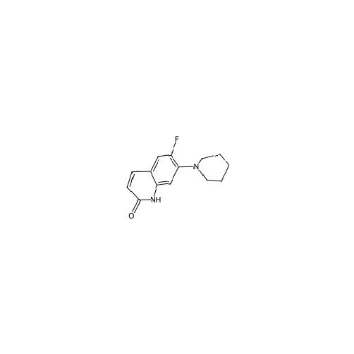 O=c1ccc2cc(F)c(N3CCCCC3)cc2[nH]1